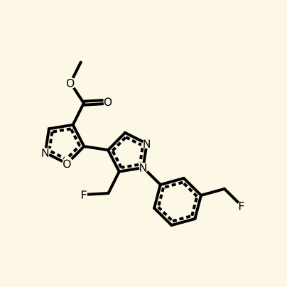 COC(=O)c1cnoc1-c1cnn(-c2cccc(CF)c2)c1CF